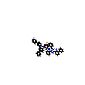 c1ccc(C2=NC(c3cccc(-c4ccccc4)c3)NC(c3cccc4oc5cc(-n6c7ccc(-c8ccccc8)cc7c7cc(-c8ccccc8)ccc76)ccc5c34)N2)cc1